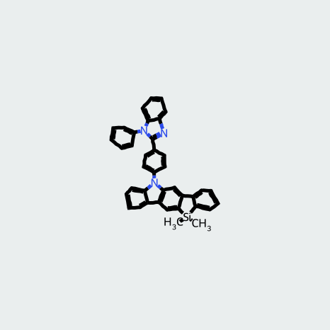 C[Si]1(C)c2ccccc2-c2cc3c(cc21)c1ccccc1n3-c1ccc(-c2nc3ccccc3n2-c2ccccc2)cc1